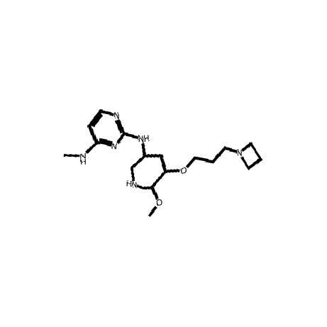 CNc1ccnc(NC2CNC(OC)C(OCCCN3CCC3)C2)n1